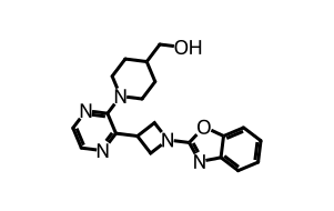 OCC1CCN(c2nccnc2C2CN(c3nc4ccccc4o3)C2)CC1